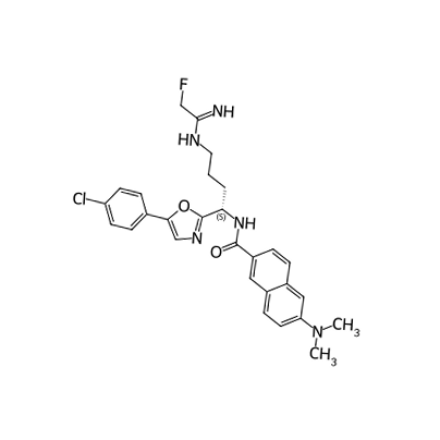 CN(C)c1ccc2cc(C(=O)N[C@@H](CCCNC(=N)CF)c3ncc(-c4ccc(Cl)cc4)o3)ccc2c1